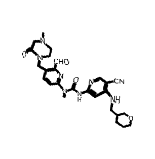 CN1CCN(Cc2ccc(N(C)C(=O)Nc3cc(NCC4CCCOC4)c(C#N)cn3)nc2C=O)C(=O)C1